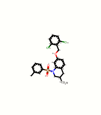 Cc1cccc(S(=O)(=O)N2CC(C(=O)O)Cc3ccc(OCc4c(Cl)cccc4Cl)cc32)c1